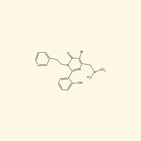 CN(C)Cc1nc(-c2ccccc2O)n(CCc2ccccc2)c(=O)c1Br